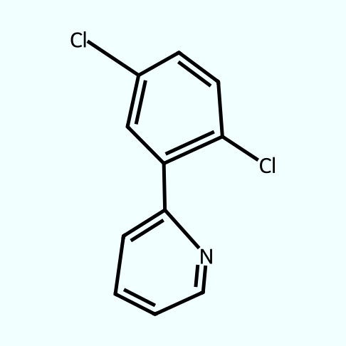 Clc1ccc(Cl)c(-c2ccccn2)c1